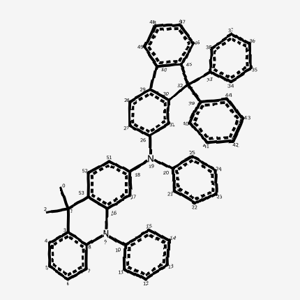 CC1(C)c2ccccc2N(c2ccccc2)c2cc(N(c3ccccc3)c3ccc4c(c3)C(c3ccccc3)(c3ccccc3)c3ccccc3-4)ccc21